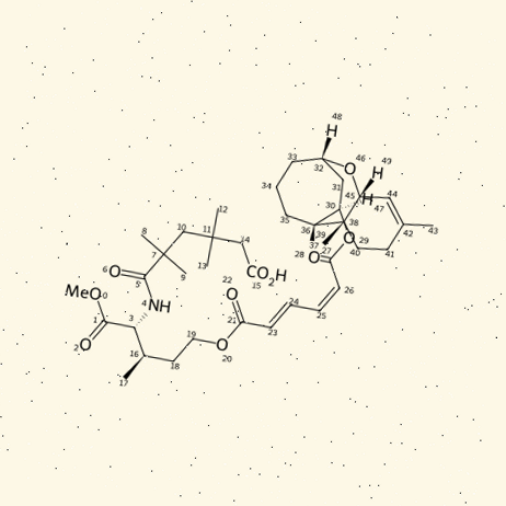 COC(=O)[C@H](NC(=O)C(C)(C)CC(C)(C)CC(=O)O)[C@H](C)CCOC(=O)/C=C/C=C\C(=O)O[C@@H]1C[C@@H]2CCC[C@@]1(C)[C@@]1(C)CCC(C)=C[C@H]1O2